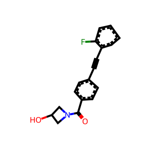 O=C(c1ccc(C#Cc2ccccc2F)cc1)N1CC(O)C1